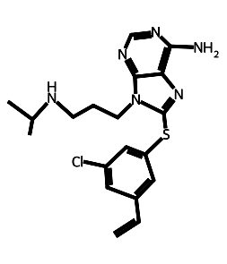 C=Cc1cc(Cl)cc(Sc2nc3c(N)ncnc3n2CCCNC(C)C)c1